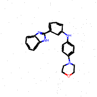 c1cc(Nc2ccc(N3CCOCC3)cc2)cc(-c2nc3ccccc3[nH]2)c1